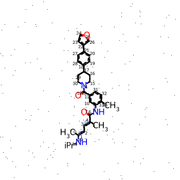 C/C(=C\C=C(/C)C(=O)Nc1cc(C(=O)N2CCC(c3ccc(-c4ccoc4)cc3)CC2)ccc1C)NC(C)C